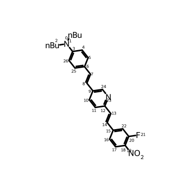 CCCCN(CCCC)c1ccc(C=Cc2ccc(C=Cc3ccc([N+](=O)[O-])c(F)c3)nc2)cc1